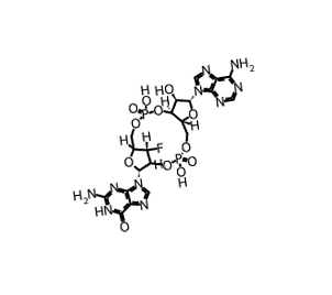 Nc1nc2c(ncn2[C@@H]2O[C@@H]3COP(=O)(O)O[C@H]4[C@@H](O)[C@H](n5cnc6c(N)ncnc65)O[C@@H]4COP(=O)(O)O[C@@H]2[C@H]3F)c(=O)[nH]1